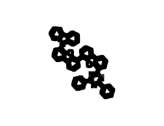 c1ccc(-c2nc(-c3ccccc3)nc(-c3cccc4c3oc3c(-c5cccc6c5oc5c(-n7c8ccccc8c8ccccc87)cccc56)cccc34)n2)cc1